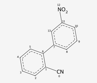 N#Cc1ccccc1-c1cc[c]c([N+](=O)[O-])c1